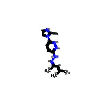 CCc1nccn1-c1ccc(NN=C(C)C=C(C)C)nn1